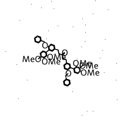 COc1ccc(-c2cc(CCC(=O)CCc3ccc(OCc4ccccc4)c(-c4ccc(OC)c(OC)c4OC)c3)ccc2OCc2ccccc2)c(OC)c1OC